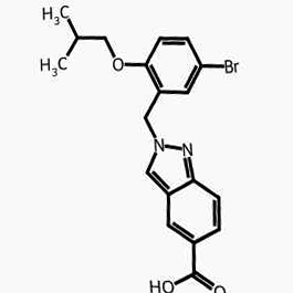 CC(C)COc1ccc(Br)cc1Cn1cc2cc(C(=O)O)ccc2n1